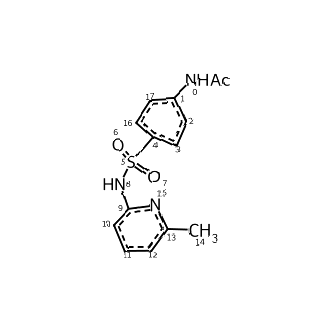 CC(=O)Nc1ccc(S(=O)(=O)Nc2cccc(C)n2)cc1